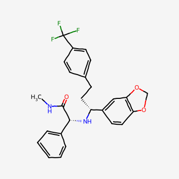 CNC(=O)[C@H](N[C@H](CCc1ccc(C(F)(F)F)cc1)c1ccc2c(c1)OCO2)c1ccccc1